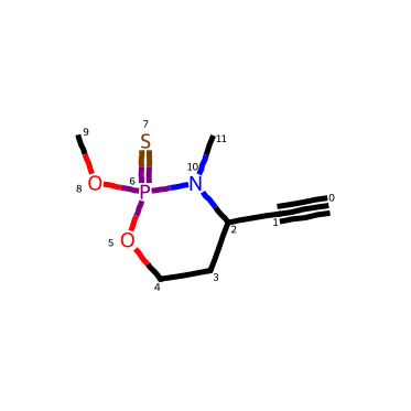 C#CC1CCOP(=S)(OC)N1C